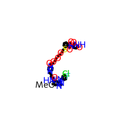 COc1cc2ncnc(Nc3ccc(F)c(Cl)c3)c2cc1NC(=O)/C=C/CN1CCN(C(=O)COCCOCCOCCSc2cccc3c2C(=O)N(C2CCC(=O)NC2=O)C3=O)CC1